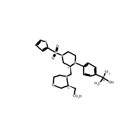 C[C@@](O)(c1ccc(N2CCN(S(=O)(=O)c3cccs3)C[C@@H]2CN2CCOC[C@@H]2CC(=O)O)cc1)C(F)(F)F